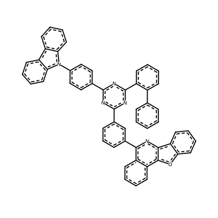 c1ccc(-c2ccccc2-c2nc(-c3ccc(-n4c5ccccc5c5ccccc54)cc3)nc(-c3cccc(-c4nc5c6ccccc6oc5c5ccccc45)c3)n2)cc1